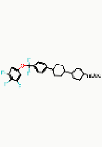 CCCCCCCCCCC1CCC(C2CCC(c3ccc(C(F)(F)Oc4cc(F)c(F)c(F)c4)cc3)CC2)CC1